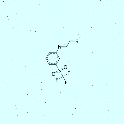 O=S(=O)(c1cccc(N=CC=S)c1)C(F)(F)F